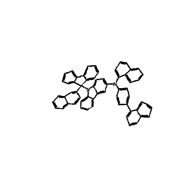 c1ccc2c(c1)-c1ccccc1C2(c1ccc2ccccc2c1)n1c2ccccc2c2cc(N(c3ccc(-c4cccc5ccccc45)cc3)c3cccc4ccccc34)ccc21